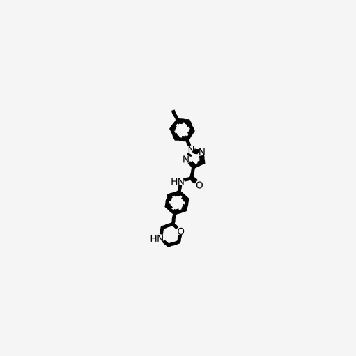 Cc1ccc(-n2ncc(C(=O)Nc3ccc(C4CNCCO4)cc3)n2)cc1